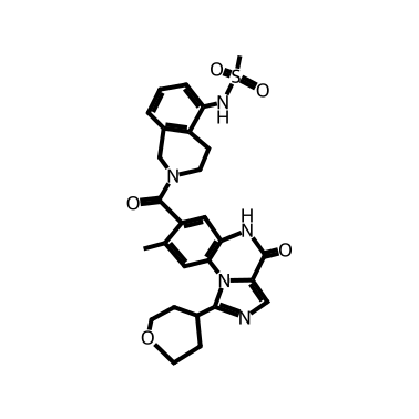 Cc1cc2c(cc1C(=O)N1CCc3c(cccc3NS(C)(=O)=O)C1)[nH]c(=O)c1cnc(C3CCOCC3)n12